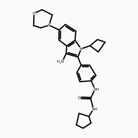 Nc1c(-c2ccc(NC(=O)NC3CCCC3)cc2)n(C2CCC2)c2ccc(N3CCOCC3)cc12